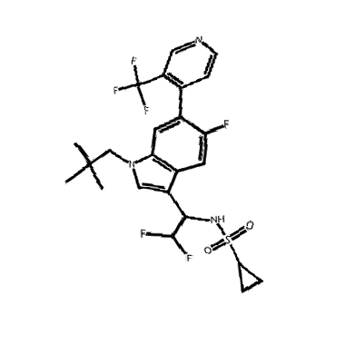 CC(C)(C)Cn1cc(C(NS(=O)(=O)C2CC2)C(F)F)c2cc(F)c(-c3ccncc3C(F)(F)F)cc21